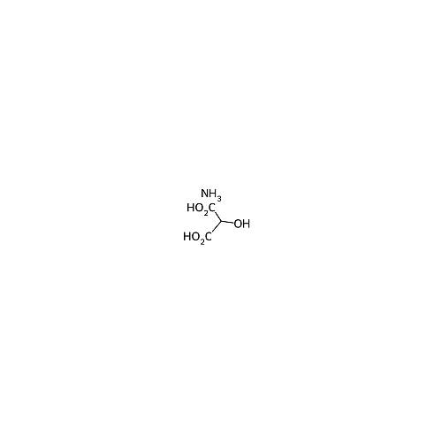 N.O=C(O)C(O)C(=O)O